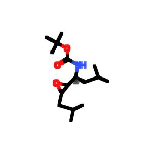 CC(C)CC1OC1[C@H](CC(C)C)NC(=O)OC(C)(C)C